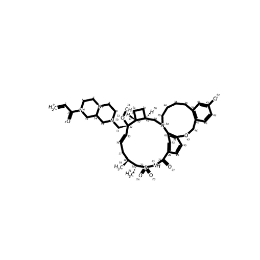 C=CC(=O)N1CCN2CCN(C[C@]3(OC)/C=C/C[C@H](C)[C@@H](C)S(=O)(=O)NC(=O)c4ccc5c(c4)N(CCCCc4cc(Cl)ccc4CO5)C[C@@H]4CC[C@H]43)CC2C1